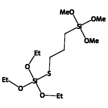 CCO[Si](OCC)(OCC)SCCC[Si](OC)(OC)OC